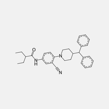 CCC(CC)C(=O)Nc1ccc(N2CCC(C(c3ccccc3)c3ccccc3)CC2)c(C#N)c1